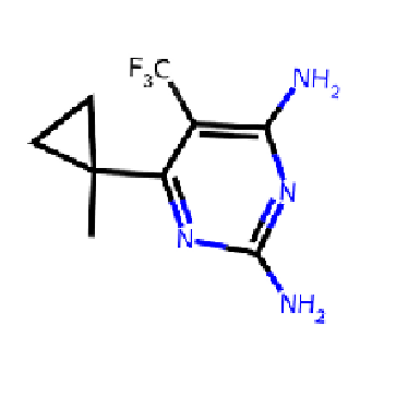 CC1(c2nc(N)nc(N)c2C(F)(F)F)CC1